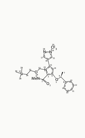 CNC(=O)c1c(O[C@@H](C)c2ccccc2)cc(-c2cnn(C(F)(F)F)c2)n1COCC[Si](C)(C)C